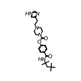 CC(C)(C)CC(C)(C)NC(=O)c1ccc(OC(=O)N2CCN(CCc3c[nH]cn3)CC2)cc1